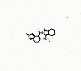 Cn1cc2c(n1)CCCC2C(=O)n1nc2c(c1N)CCCC2